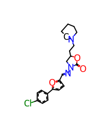 O=C1OC(CCN2CCCCC2)CN1N=Cc1ccc(-c2ccc(Cl)cc2)o1